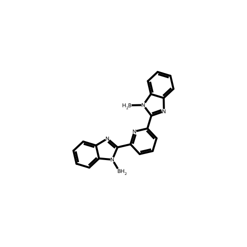 Bn1c(-c2cccc(-c3nc4ccccc4n3B)n2)nc2ccccc21